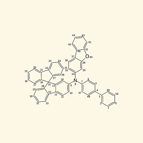 c1ccc(-c2ccc(N(c3ccc4c(c3)C3(c5ccccc5-c5ccccc53)c3ccccc3-4)c3ccc4c(c3)oc3ccccc34)cc2)cc1